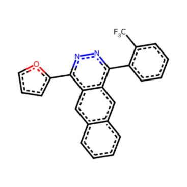 FC(F)(F)c1ccccc1-c1nnc(-c2ccco2)c2cc3ccccc3cc12